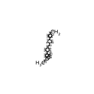 C=Cc1ccc(C2CCC(CCC3CCC(c4ccc(OCCC)c(F)c4F)CC3)CC2)cc1